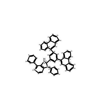 c1ccc(-c2nccc3c2NC(c2cc(-c4cc5ccccc5c5ccccc45)cc(-c4cc5ccccc5c5ccccc45)c2)N3c2ccccc2)cc1